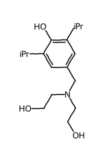 CC(C)c1cc(CN(CCO)CCO)cc(C(C)C)c1O